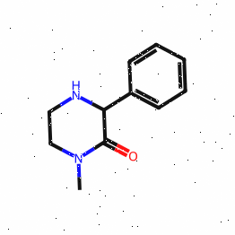 CN1CCNC(c2ccccc2)C1=O